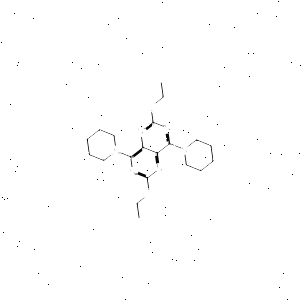 CCOc1nc(N2CCCCC2)c2nc(OCC)nc(N3CCCCC3)c2n1